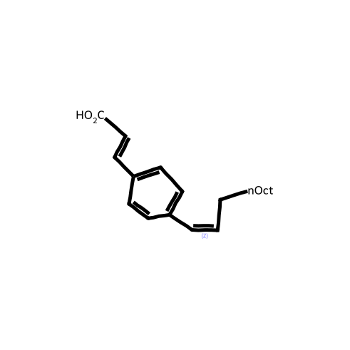 CCCCCCCCC/C=C\c1ccc(C=CC(=O)O)cc1